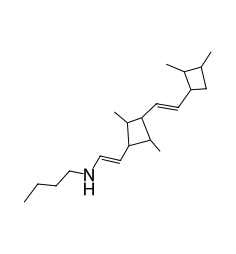 CCCCNC=CC1C(C)C(C=CC2CC(C)C2C)C1C